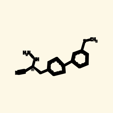 CSc1cccc(-c2ccc(C[C@@H](C#N)NN)cc2)c1